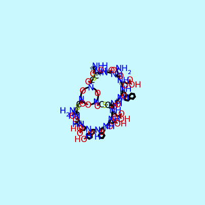 C[C@H](N)C(=O)N[C@H]1CSCC(=O)N2CCOCCN3CCOCCN(CCOCC2)C(=O)CSC[C@@H](NC(=O)[C@@H](C)NC(=O)[C@H](Cc2cccc4ccccc24)NC(=O)[C@H](CCC(=O)O)NC(=O)[C@H](CC(N)=O)NC(=O)[C@@H](C)NC1=O)C(=O)N[C@@H](CCC(=O)O)C(=O)N[C@@H](CC(=O)O)C(=O)N[C@@H](Cc1ccccc1)C(=O)N[C@@H](Cc1ccc(O)cc1)C(=O)NC(CC(=O)O)C(=O)N[C@@H](C(C)(C)C)C(=O)N[C@H](C(N)=O)CSCC3=O